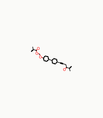 C=C(C)C(=O)CC#Cc1ccc(-c2ccc(OCOC(=O)C(=C)C)cc2)cc1